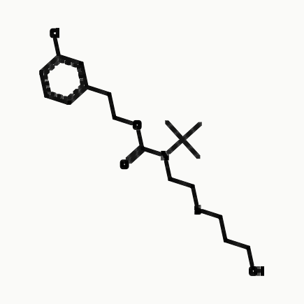 CC(C)(C)N(CCSCCCO)C(=O)OCCc1cccc(Cl)c1